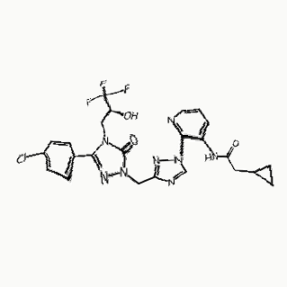 O=C(CC1CC1)Nc1cccnc1-n1cnc(Cn2nc(-c3ccc(Cl)cc3)n(C[C@H](O)C(F)(F)F)c2=O)n1